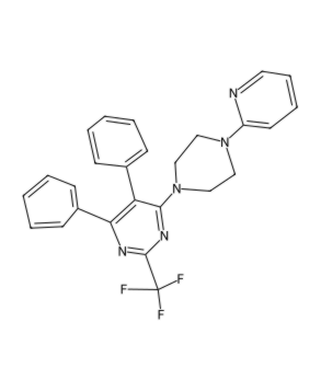 FC(F)(F)c1nc(-c2ccccc2)c(-c2ccccc2)c(N2CCN(c3ccccn3)CC2)n1